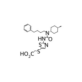 C[C@H]1CC[C@H](N(CCCCc2ccccc2)C(=O)Nc2ncc(SCC(=O)O)s2)CC1